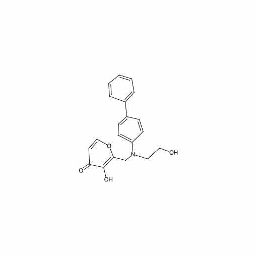 O=c1ccoc(CN(CCO)c2ccc(-c3ccccc3)cc2)c1O